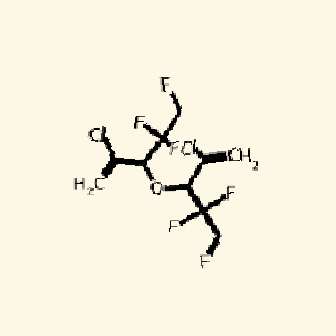 C=C(Cl)C(OC(C(=C)Cl)C(F)(F)CF)C(F)(F)CF